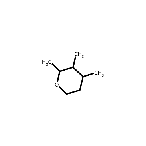 CC1CCOC(C)C1C